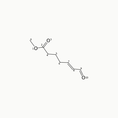 COC(=O)CCC/C=C/C=O